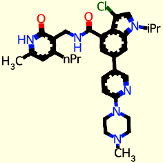 CCCc1cc(C)[nH]c(=O)c1CNC(=O)c1cc(-c2ccc(N3CCN(C)CC3)nc2)cc2c1c(Cl)cn2C(C)C